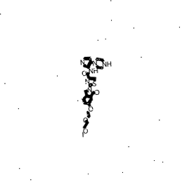 O=C(Nc1cnccc1N1CCNCC1)c1csc(N2Cc3ccc(OCCOCCOI)cc3C2=O)n1